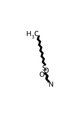 CCCCCCCCCCCCSOC(=O)C=CC#N